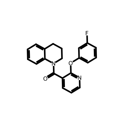 O=C(c1cccnc1Oc1cccc(F)c1)N1CCCc2ccccc21